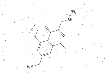 CC.CCc1cc(CN)cc(CC)c1C(=S)C(=O)CNN